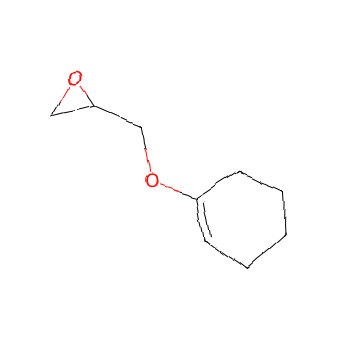 C1=C(OCC2CO2)CCCC1